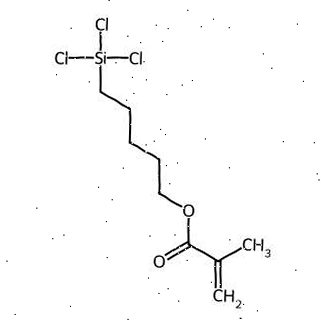 C=C(C)C(=O)OCCCCC[Si](Cl)(Cl)Cl